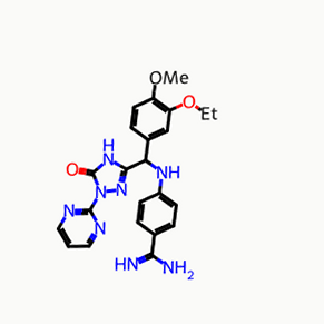 CCOc1cc(C(Nc2ccc(C(=N)N)cc2)c2nn(-c3ncccn3)c(=O)[nH]2)ccc1OC